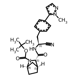 Cn1nccc1-c1ccc(C[C@@H](C#N)NC(=O)[C@@H]2[C@H]3CC[C@H](C3)N2C(=O)OC(C)(C)C)cc1